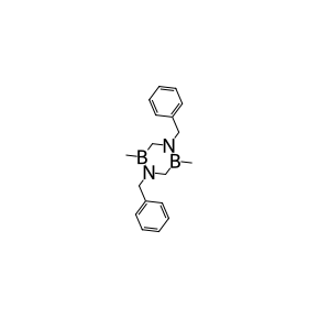 CB1CN(Cc2ccccc2)B(C)CN1Cc1ccccc1